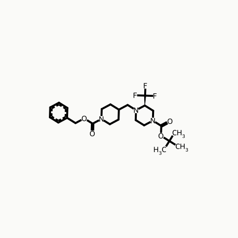 CC(C)(C)OC(=O)N1CCN(CC2CCN(C(=O)OCc3ccccc3)CC2)[C@@H](C(F)(F)F)C1